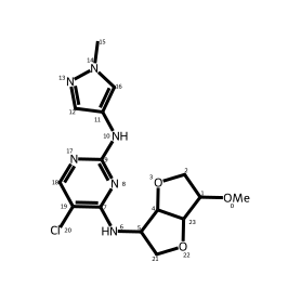 COC1COC2C(Nc3nc(Nc4cnn(C)c4)ncc3Cl)COC12